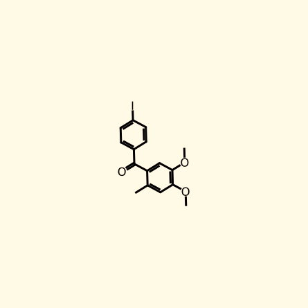 COc1cc(C)c(C(=O)c2ccc(I)cc2)cc1OC